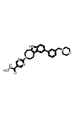 O=C(NO)c1cnc(N2CCc3[nH]c4ccc(-c5cccc(CN6CCOCC6)c5)cc4c3CC2)nc1